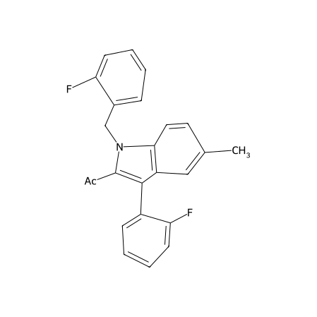 CC(=O)c1c(-c2ccccc2F)c2cc(C)ccc2n1Cc1ccccc1F